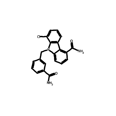 NC(=O)c1cccc(Cn2c3cccc(C(N)=O)c3c3[c]ccc(Cl)c32)c1